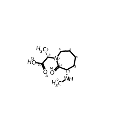 CN[C@H]1CCCCN([C@@H](C)C(=O)O)C1=O